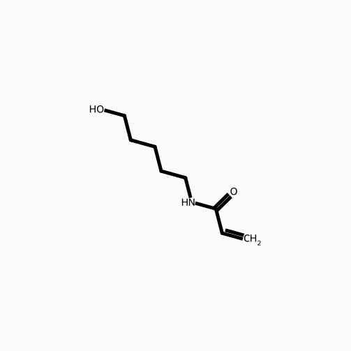 C=CC(=O)NCCCCCO